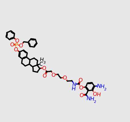 CC12CCC3c4ccc(OP(=O)(OCc5ccccc5)Oc5ccccc5)cc4CCC3C1CCC2OC(=O)COCCOCCNC(=O)Oc1ccc(N)c(O)c1C(N)=O